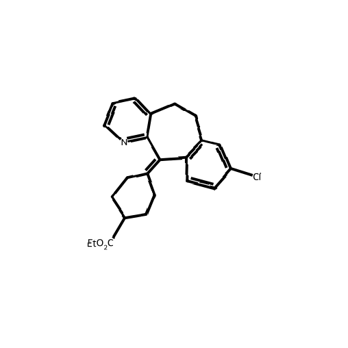 CCOC(=O)C1CCC(=C2c3ccc(Cl)cc3CCc3cccnc32)CC1